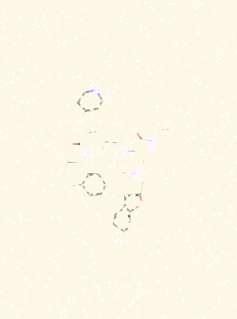 O=C(N[C@H]1c2ccccc2OC[C@H]1O)[C@H](Cc1ccncc1)C[C@H](O)CN1CCN(Cc2cc3ccccc3o2)C[C@H]1C(=O)NCC(F)(F)F